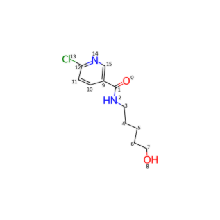 O=C(NCCCCCO)c1ccc(Cl)nc1